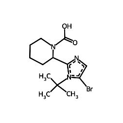 CC(C)(C)n1c(Br)cnc1C1CCCCN1C(=O)O